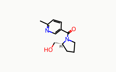 Cc1ccc(C(=O)N2CCC[C@@H]2CO)cn1